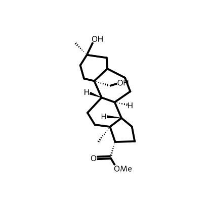 COC(=O)[C@H]1CC[C@H]2[C@@H]3CCC4C[C@](C)(O)CC[C@]4(CO)[C@H]3CC[C@]12C